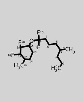 CCCC(C)CCCC(F)(F)OC1CCC(C)C(F)C1F